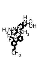 C/C=C/c1ccc([C@@H](Oc2cc(N3CCC4(CC3)CN[C@H](C(=O)O)C4)nc(N)n2)C(F)(F)F)c(-c2cccc(SC)c2)c1